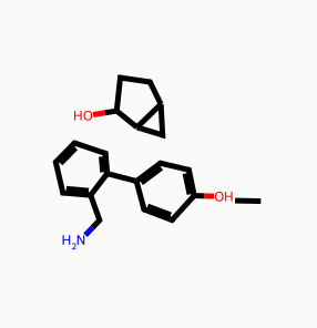 CC.NCc1ccccc1-c1ccc(O)cc1.OC1CCC2CC12